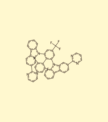 Fc1cccc(F)c1-c1c(-n2c3ccccc3c3ccc(-c4ncccn4)cc32)cc(C(F)(F)F)cc1-n1c2ccccc2c2ccc(-c3ncccn3)cc21